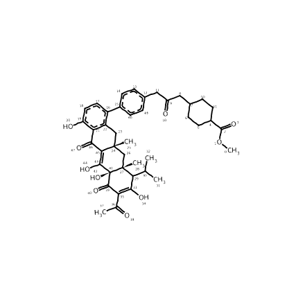 COC(=O)C1CCC(CC(=O)Cc2ccc(-c3ccc(O)c4c3C[C@]3(C)C[C@]5(C)C(C(C)C)C(O)=C(C(C)=O)C(=O)[C@]5(O)C(O)=C3C4=O)cc2)CC1